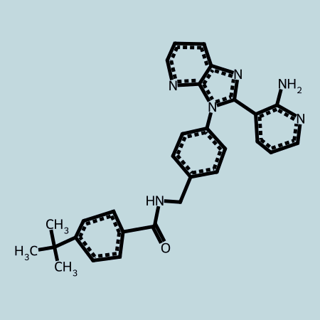 CC(C)(C)c1ccc(C(=O)NCc2ccc(-n3c(-c4cccnc4N)nc4cccnc43)cc2)cc1